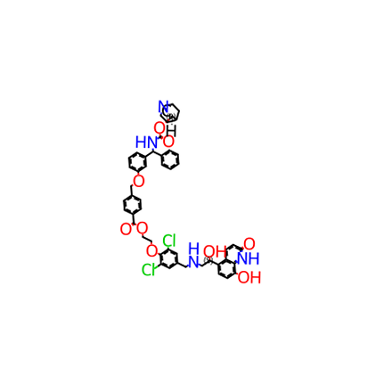 O=C(NC(c1ccccc1)c1cccc(OCc2ccc(C(=O)OCCOc3c(Cl)cc(CNC[C@@H](O)c4ccc(O)c5[nH]c(=O)ccc45)cc3Cl)cc2)c1)O[C@H]1CN2CCC1CC2